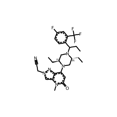 CCC(c1ccc(F)cc1C(F)(F)F)N1C[C@H](CC)N(c2cc(=O)n(C)c3cn(CC#N)nc23)C[C@H]1CC